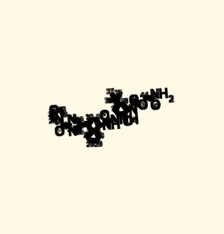 COc1c(NC(=O)Nc2ccc(-c3cnc(C(=O)N4CCOCC4)nc3)c3ccccc23)cc(C(C)(C)C)cc1NC(=O)OCC(N)=O